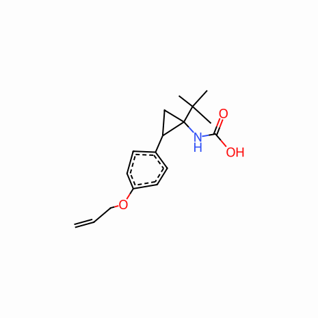 C=CCOc1ccc(C2CC2(NC(=O)O)C(C)(C)C)cc1